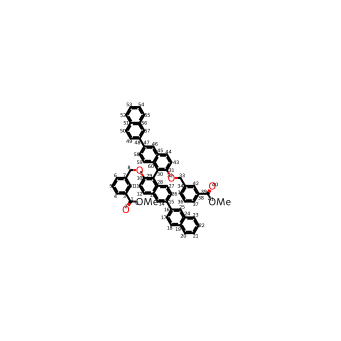 COC(=O)c1cccc(COc2ccc3cc(-c4ccc5ccccc5c4)ccc3c2-c2c(OCc3cccc(C(=O)OC)c3)ccc3cc(-c4ccc5ccccc5c4)ccc23)c1